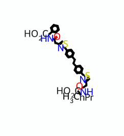 CCCC(C)(NC(=O)Cc1csc(-c2ccc(CCc3ccc(-c4nc(CC(=O)NC(C(=O)O)c5ccccc5)cs4)cc3)cc2)n1)C(=O)O